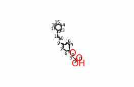 O=C(O)COc1ccc(CC=Cc2ccccc2)cc1